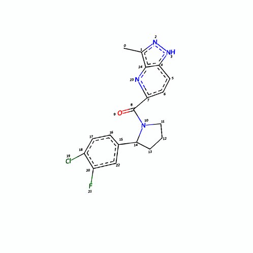 Cc1n[nH]c2ccc(C(=O)N3CCCC3c3ccc(Cl)c(F)c3)nc12